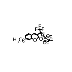 COc1ccc2cc(/C(=N\OS(=O)(=O)C(F)(F)F)C(F)(F)F)c(=O)oc2c1